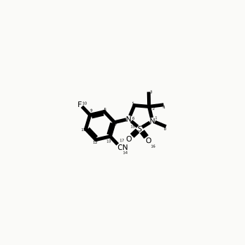 CN1C(C)(C)CN(c2cc(F)ccc2C#N)S1(=O)=O